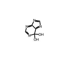 OC1(O)N=CN=C2N=CN=C21